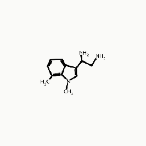 Cc1cccc2c(C(N)CN)cn(C)c12